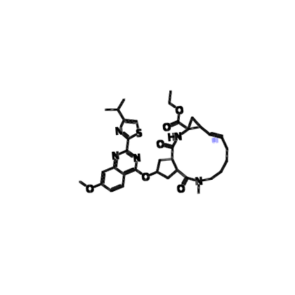 CCOC(=O)C12CC1/C=C/CCCCN(C)C(=O)C1CC(Oc3nc(-c4nc(C(C)C)cs4)nc4cc(OC)ccc34)CC1C(=O)N2